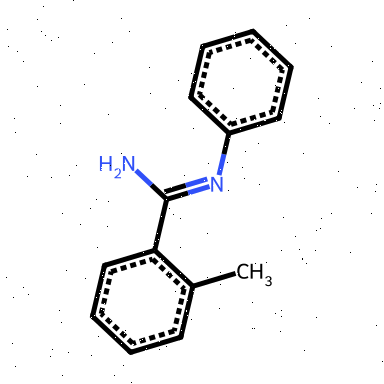 Cc1ccccc1C(N)=Nc1ccccc1